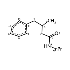 CCCNC(=O)CC(C)Cc1ccccc1